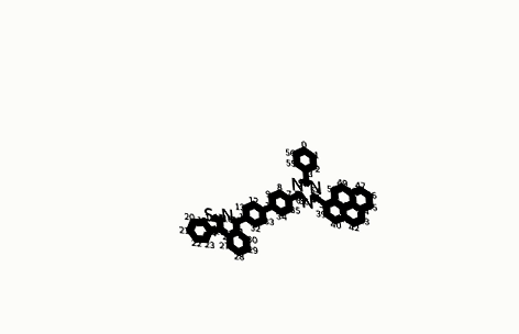 c1ccc(-c2nc(-c3ccc(-c4ccc(-c5nc6sc7ccccc7c6c6ccccc56)cc4)cc3)nc(-c3ccc4ccc5cccc6ccc3c4c56)n2)cc1